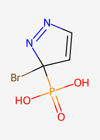 O=P(O)(O)C1(Br)C=CN=N1